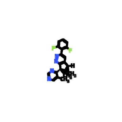 Cc1cncnc1[C@]12CC[C@@H](c3cc(-c4c(F)cccc4F)nnc31)C2(C)C